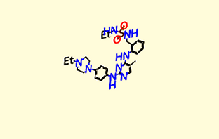 CCNS(=O)(=O)NCc1ccccc1Nc1nc(Nc2ccc(N3CCN(CC)CC3)cc2)ncc1C